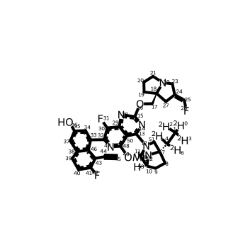 [2H]C([2H])([2H])C([2H])([2H])[C@@]12CC[C@@H](CN(c3nc(OC[C@@]45CCCN4C/C(=C/F)C5)nc4c(F)c(-c5cc(O)cc6ccc(F)c(C#C)c56)nc(OC)c34)C1)N2